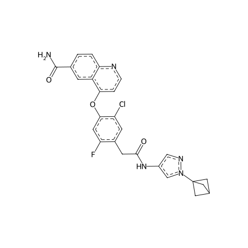 NC(=O)c1ccc2nccc(Oc3cc(F)c(CC(=O)Nc4cnn(C56CC(C5)C6)c4)cc3Cl)c2c1